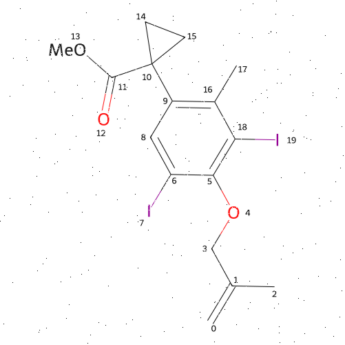 C=C(C)COc1c(I)cc(C2(C(=O)OC)CC2)c(C)c1I